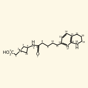 O=C(O)CN1CC(NC(=O)CCCCc2ccc3c(n2)NCCC3)C1